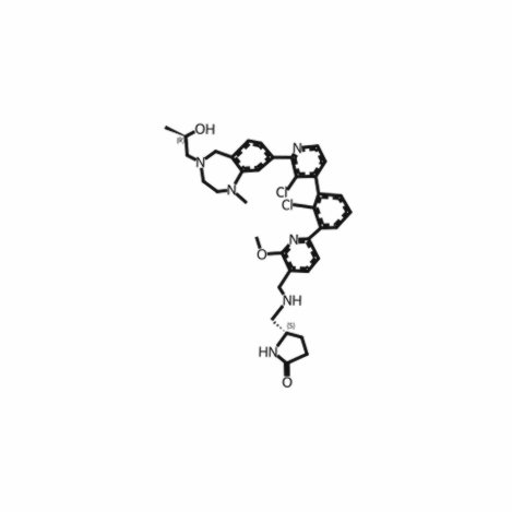 COc1nc(-c2cccc(-c3ccnc(-c4ccc5c(c4)N(C)CCN(C[C@@H](C)O)C5)c3Cl)c2Cl)ccc1CNC[C@@H]1CCC(=O)N1